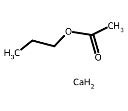 CCCOC(C)=O.[CaH2]